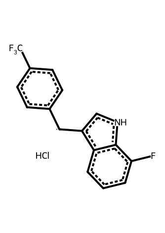 Cl.Fc1cccc2c([CH]c3ccc(C(F)(F)F)cc3)c[nH]c12